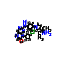 CC(C)(N)C1CCN(c2ccc(Nc3ncc4ncc(=O)n(C5CCCC5)c4n3)cc2Cl)C1